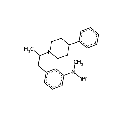 CC(Cc1cccc(N(C)C(C)C)c1)N1CCC(c2ccccc2)CC1